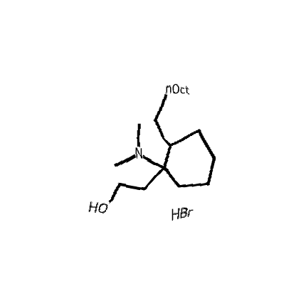 Br.CCCCCCCCCC1CCCCC1(CCO)N(C)C